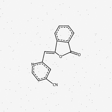 N#Cc1ccnc(/C=C2\OC(=O)c3ccccc32)c1